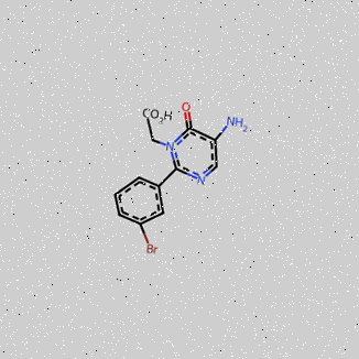 Nc1cnc(-c2cccc(Br)c2)n(CC(=O)O)c1=O